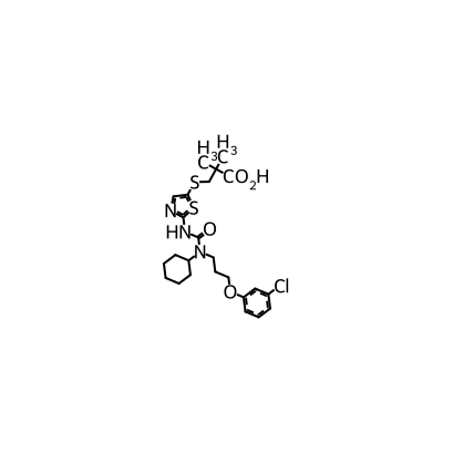 CC(C)(CSc1cnc(NC(=O)N(CCCOc2cccc(Cl)c2)C2CCCCC2)s1)C(=O)O